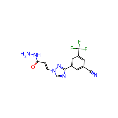 N#Cc1cc(-c2ncn(C=CC(=O)NN)n2)cc(C(F)(F)F)c1